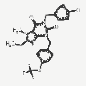 CCc1nc2c(c(=O)n(Cc3ccc(Cl)cc3)c(=O)n2Cc2ccc(SC(F)(F)F)cc2)n1C